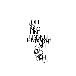 CC1(C)CCOc2c(C(=O)NC3CN4C(=N)N[C@@H](CNC(=O)c5cc(O)ncn5)C5NC(=N)NC54[C@@H]3O)cccc21